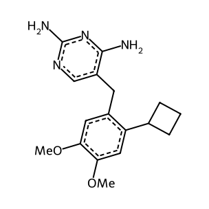 COc1cc(Cc2cnc(N)nc2N)c(C2CCC2)cc1OC